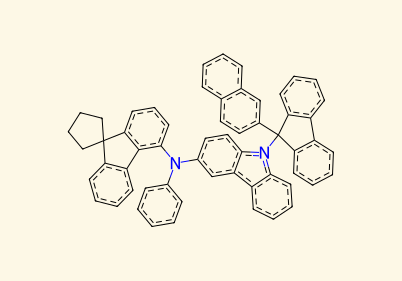 c1ccc(N(c2ccc3c(c2)c2ccccc2n3C2(c3ccc4ccccc4c3)c3ccccc3-c3ccccc32)c2cccc3c2-c2ccccc2C32CCCC2)cc1